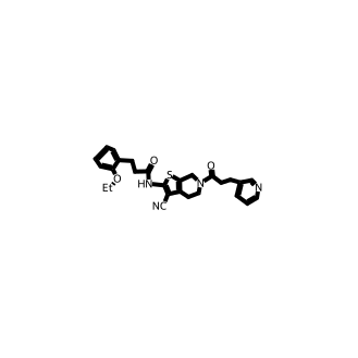 CCOc1ccccc1CCC(=O)Nc1sc2c(c1C#N)CCN(C(=O)CCc1cccnc1)C2